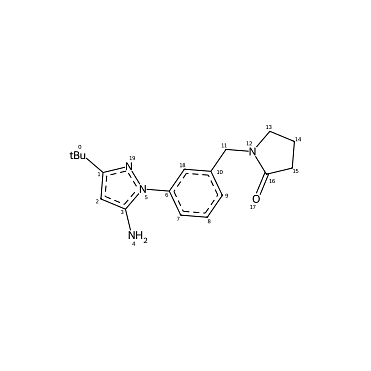 CC(C)(C)c1cc(N)n(-c2cccc(CN3CCCC3=O)c2)n1